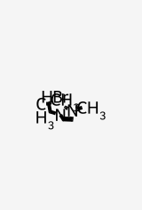 Br.CC(C)CN1C=CN(C)C1